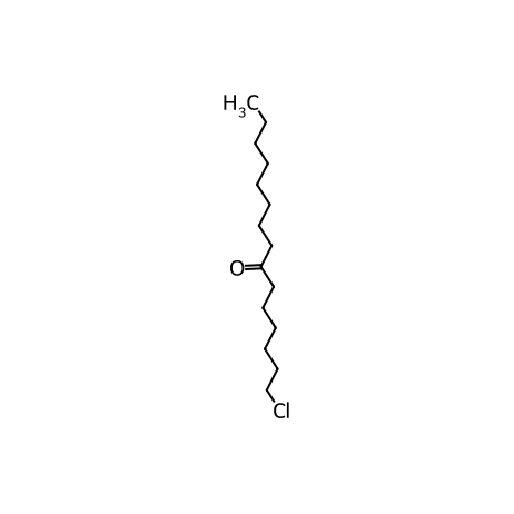 CCCCCCCCC(=O)CCCCCCCl